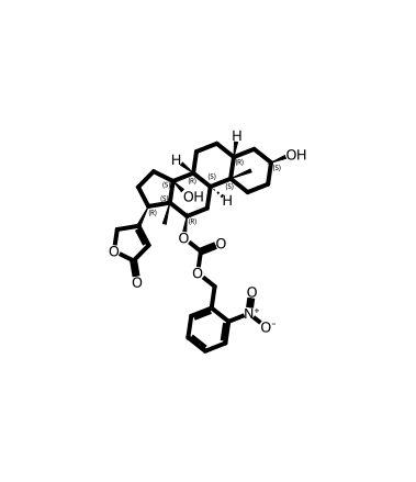 C[C@]12CC[C@H](O)C[C@H]1CC[C@@H]1[C@@H]2C[C@@H](OC(=O)OCc2ccccc2[N+](=O)[O-])[C@]2(C)[C@@H](C3=CC(=O)OC3)CC[C@]12O